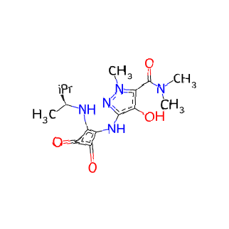 CC(C)[C@H](C)Nc1c(Nc2nn(C)c(C(=O)N(C)C)c2O)c(=O)c1=O